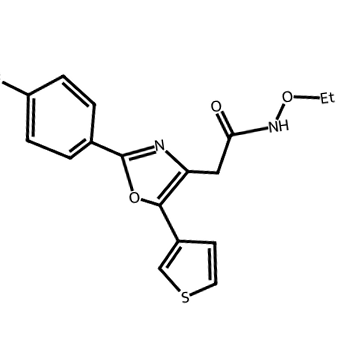 CCONC(=O)Cc1nc(-c2ccc(F)cc2)oc1-c1ccsc1